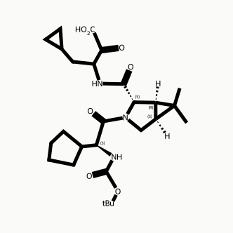 CC(C)(C)OC(=O)N[C@H](C(=O)N1C[C@H]2[C@@H]([C@H]1C(=O)NC(CC1CC1)C(=O)C(=O)O)C2(C)C)C1CCCC1